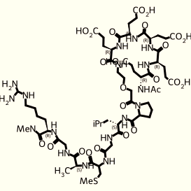 CNC(=O)[C@@H](CCCCNC(N)N)NC(=O)CNC(=O)[C@H](C)NC(=O)C(CSC)NC(=O)CNC(=O)[C@H](CC(C)C)NC(=O)C1CCCN1C(=O)COCCNC(=O)[C@@H](CCC(=O)O)NC(=O)[C@@H](CCC(=O)O)NC(=O)[C@@H](CCC(=O)O)NC(=O)[C@@H](CCC(=O)O)NC(=O)[C@@H](CCC(=O)O)NC(C)=O